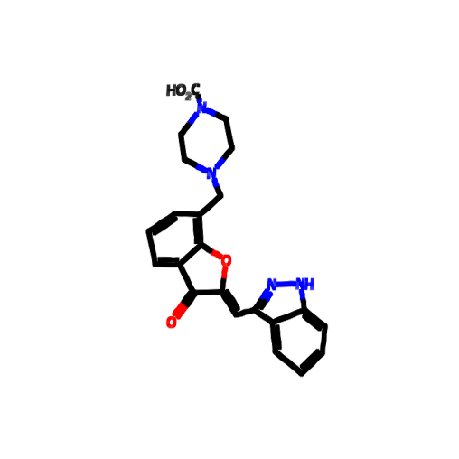 O=C1C(=Cc2n[nH]c3ccccc23)Oc2c(CN3CCN(C(=O)O)CC3)cccc21